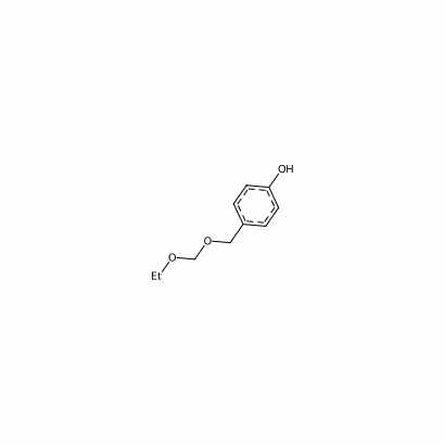 CCOCOCc1ccc(O)cc1